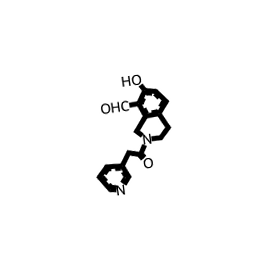 O=Cc1c(O)ccc2c1CN(C(=O)Cc1cccnc1)CC2